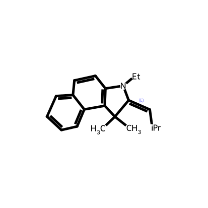 CCN1/C(=C/C(C)C)C(C)(C)c2c1ccc1ccccc21